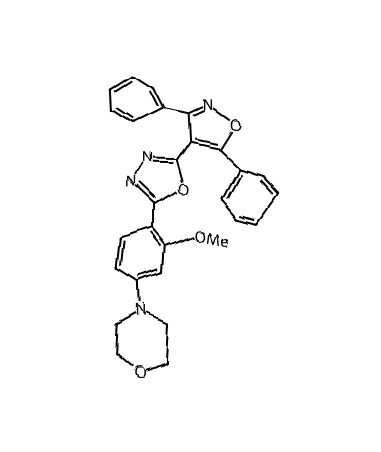 COc1cc(N2CCOCC2)ccc1-c1nnc(-c2c(-c3ccccc3)noc2-c2ccccc2)o1